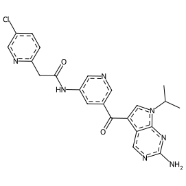 CC(C)n1cc(C(=O)c2cncc(NC(=O)Cc3ccc(Cl)cn3)c2)c2cnc(N)nc21